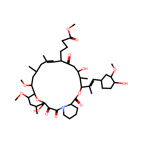 COC(=O)CCCC1/C=C(\C)CC(C)CC(OC)C2OC(O)(C(=O)C(=O)N3CCCCC3C(=O)OC(C(C)=CC3CCC(O)C(OC)C3)C(C)C(O)CC1=O)C(C)CC2OC